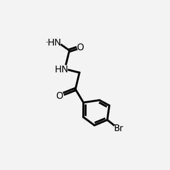 [NH]C(=O)NCC(=O)c1ccc(Br)cc1